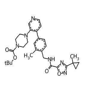 Cc1cc(-c2ccncc2N2CCN(C(=O)OC(C)(C)C)CC2)ccc1CNC(=O)c1nc(C2(C)CC2)no1